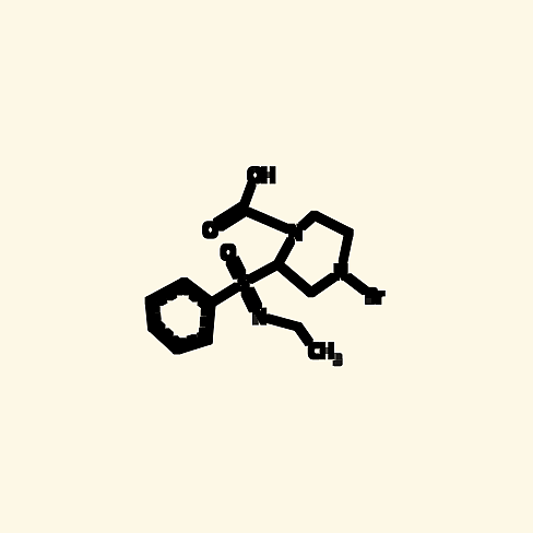 CCN=S(=O)(c1ccccc1)C1CN(Br)CCN1C(=O)O